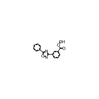 O=C(OO)c1cccc(-c2noc(-c3ccccc3)n2)c1